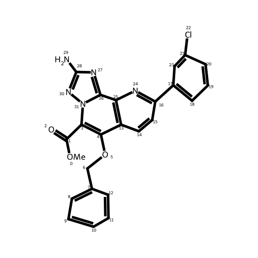 COC(=O)c1c(OCc2ccccc2)c2ccc(-c3cccc(Cl)c3)nc2c2nc(N)nn12